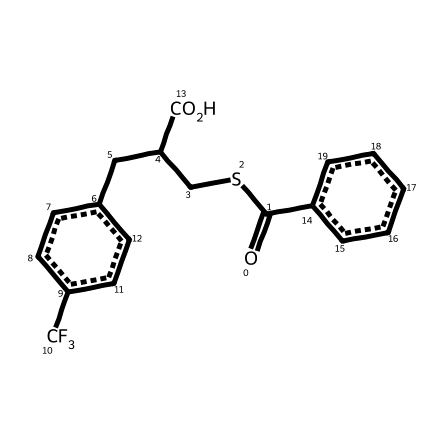 O=C(SCC(Cc1ccc(C(F)(F)F)cc1)C(=O)O)c1ccccc1